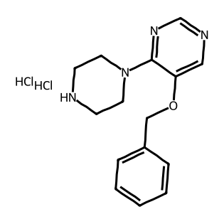 Cl.Cl.c1ccc(COc2cncnc2N2CCNCC2)cc1